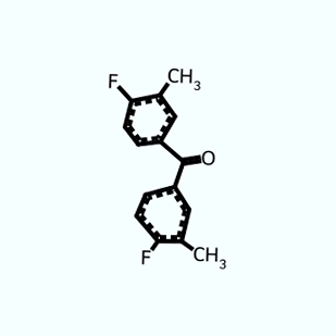 Cc1cc(C(=O)c2ccc(F)c(C)c2)ccc1F